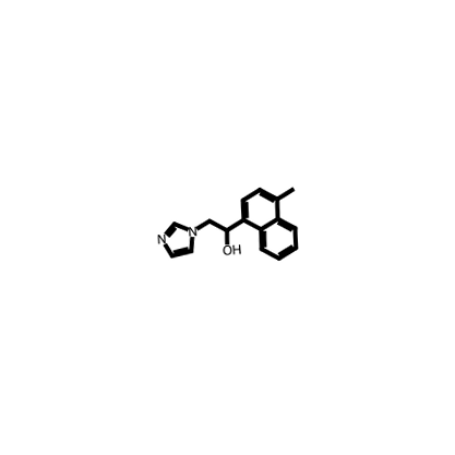 Cc1ccc(C(O)Cn2ccnc2)c2ccccc12